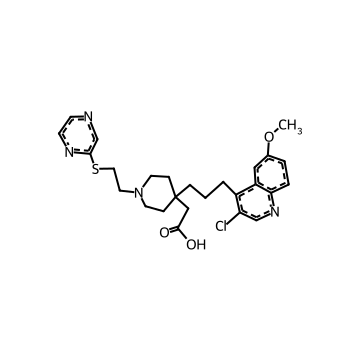 COc1ccc2ncc(Cl)c(CCCC3(CC(=O)O)CCN(CCSc4cnccn4)CC3)c2c1